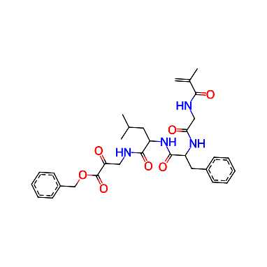 C=C(C)C(=O)NCC(=O)NC(Cc1ccccc1)C(=O)NC(CC(C)C)C(=O)NCC(=O)C(=O)OCc1ccccc1